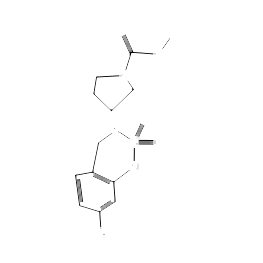 CC(C)(C)OC(=O)N1CC[C@@H](N2Cc3ccc(Br)cc3NS2(=O)=O)C1